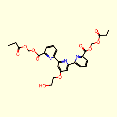 CCC(=O)OCOC(=O)c1cccc(-c2cc(OCCO)cc(-c3cccc(C(=O)OCOC(=O)CC)n3)n2)n1